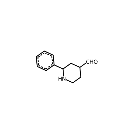 O=CC1CCNC(c2ccccc2)C1